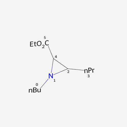 CCCCN1C(CCC)C1C(=O)OCC